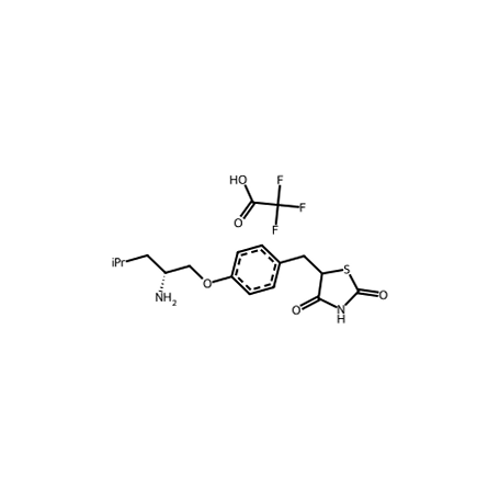 CC(C)C[C@@H](N)COc1ccc(CC2SC(=O)NC2=O)cc1.O=C(O)C(F)(F)F